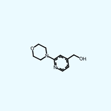 OCc1ccnc(N2CCOCC2)c1